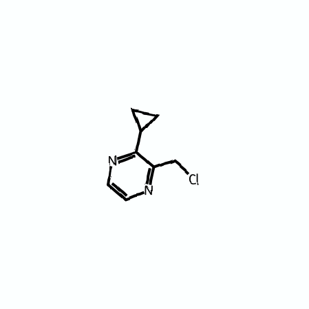 ClCc1nccnc1C1CC1